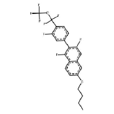 CCCCOc1ccc2c(F)c(-c3ccc(C(F)(F)OC(F)(F)F)c(F)c3)c(F)cc2c1